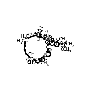 CC[Si](CC)(CC)OC1CC[C@@H](C[C@@H](N)[C@@H]2C[C@@H](OS(C)(=O)=O)[C@H](C)/C=C(\C)C(O[Si](CC)(CC)CC)[C@@H](O)C(=O)[C@H](C)C[C@H](C)/C=C/C=C/C=C(\C)[C@@H](OC)C[C@@H]3CC[C@@H](C)[C@@](O)(O3)C(=O)C(=O)N3CCCC[C@H]3C(=O)O2)C[C@H]1OC